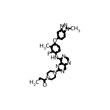 C=CC(=O)N1CCN(c2ncc3ncnc(Nc4ccc(Oc5ccc6c(c5)nnn6C)c(C)c4F)c3n2)CC1